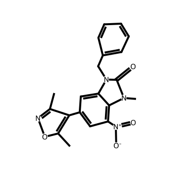 Cc1noc(C)c1-c1cc([N+](=O)[O-])c2c(c1)n(Cc1ccccc1)c(=O)n2C